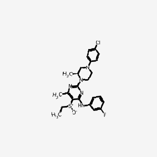 CC[S+]([O-])c1c(C)nc(N2CCN(c3ccc(Cl)cc3)C[C@@H]2C)nc1Nc1cccc(F)c1